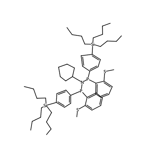 CCCC[Si](CCCC)(CCCC)c1ccc(P(c2ccccc2SC)N(C2CCCCC2)P(c2ccc([Si](CCCC)(CCCC)CCCC)cc2)c2ccccc2SC)cc1